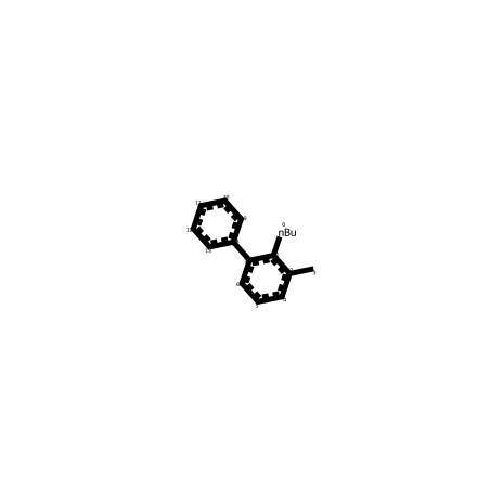 CCCCc1c(C)cccc1-c1ccccc1